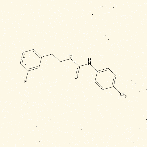 O=C(NCCc1cccc(F)c1)Nc1ccc(C(F)(F)F)cc1